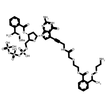 CSSC(C)c1ccccc1C(=O)O[C@@H]1C[C@H](n2cc(C#CCNC(=O)COCCOC(=O)c3ccccc3C(C)SSCCN)c3c(=O)[nH]c(N)nc32)OC1COP(=O)(O)OP(=O)(O)OP(=O)(O)O